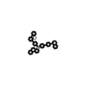 C1=C(c2ccc(-c3ccc(N(c4ccc(-c5cccc6c5oc5ccccc56)cc4)c4cccc5c4ccc4ccccc45)cc3)cc2)c2ccccc2CC1